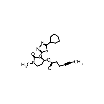 CC#CCCC(=O)OC1CCN(C)C(=O)N1c1nnc(C2CCCCC2)s1